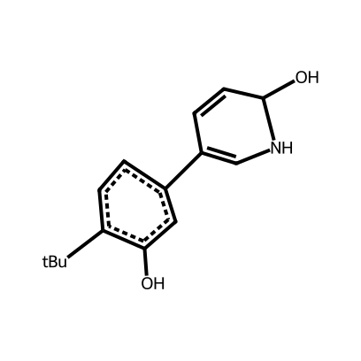 CC(C)(C)c1ccc(C2=CNC(O)C=C2)cc1O